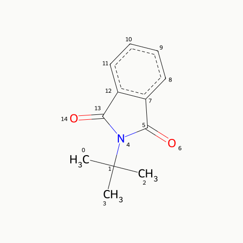 CC(C)(C)N1C(=O)c2ccccc2C1=O